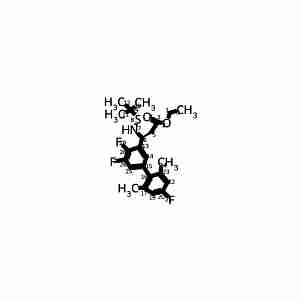 CCOC(=O)C[C@H](NSC(C)(C)C)c1cc(-c2c(C)cc(F)cc2C)cc(F)c1F